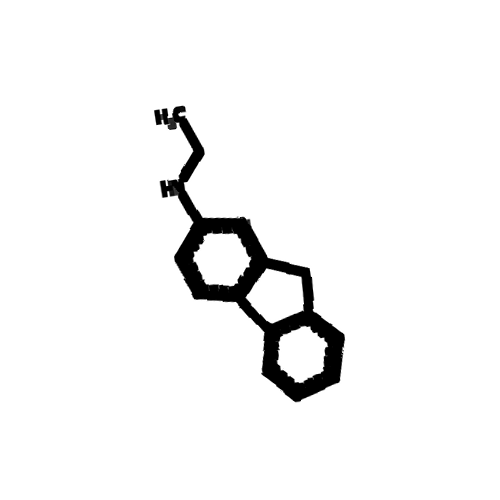 CCNc1[c]c2c(cc1)-c1ccccc1C2